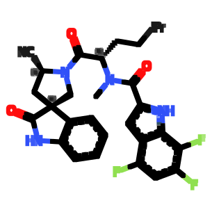 CC(C)CC[C@@H](C(=O)N1C[C@]2(C[C@H]1C#N)C(=O)Nc1ccccc12)N(C)C(=O)c1cc2c(F)cc(F)c(F)c2[nH]1